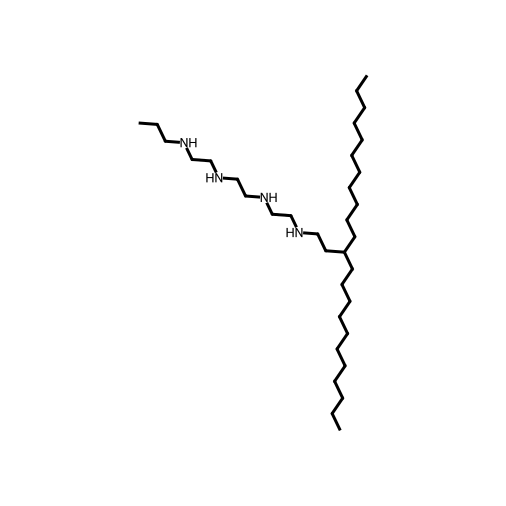 CCCCCCCCCCCC(CCCCCCCCCCC)CCNCCNCCNCCNCCC